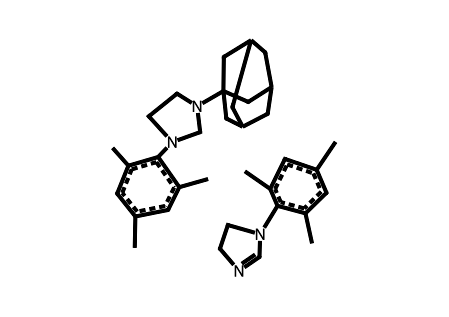 Cc1cc(C)c(N2C=NCC2)c(C)c1.Cc1cc(C)c(N2CCN(C34CC5CC(CC(C5)C3)C4)C2)c(C)c1